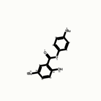 CC(C)(C)c1ccc(OC(=O)c2cc(C(C)(C)C)ccc2O)cc1